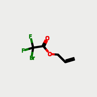 C=CCOC(=O)C(F)(F)Br